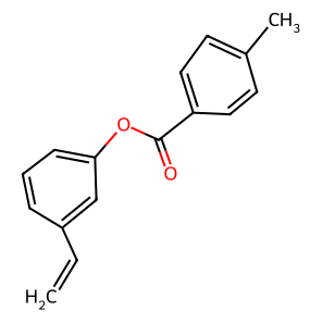 C=Cc1cccc(OC(=O)c2ccc(C)cc2)c1